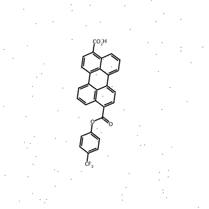 O=C(O)c1ccc2c3cccc4c(C(=O)Oc5ccc(C(F)(F)F)cc5)ccc(c5cccc1c25)c43